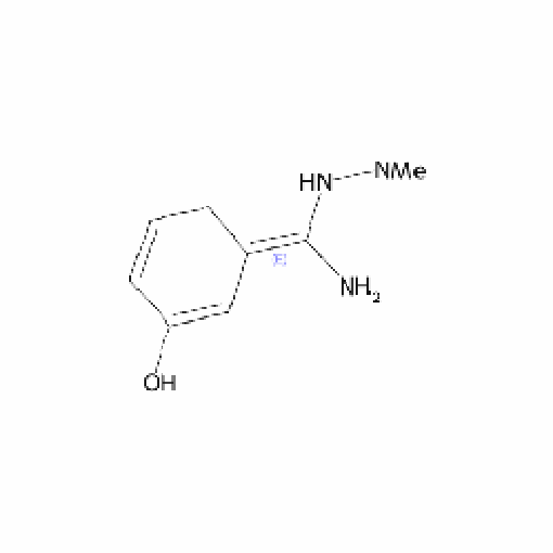 CNN/C(N)=C1/C=C(O)C=CC1